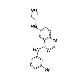 NCCNc1ccc2ncnc(Nc3cccc(Br)c3)c2c1